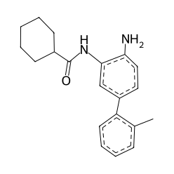 Cc1ccccc1-c1ccc(N)c(NC(=O)C2CCCCC2)c1